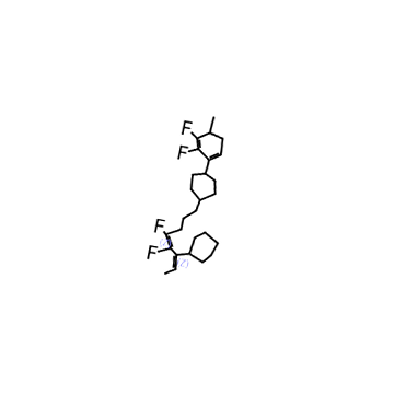 C/C=C(\C(F)=C(\F)CCCC1CCC(C2=CCC(C)C(F)=C2F)CC1)C1CCCCC1